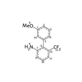 COc1cc[c]c(-c2c(N)cccc2C(F)(F)F)c1